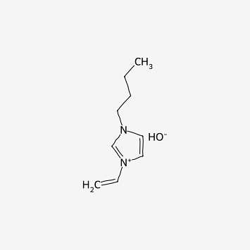 C=C[n+]1ccn(CCCC)c1.[OH-]